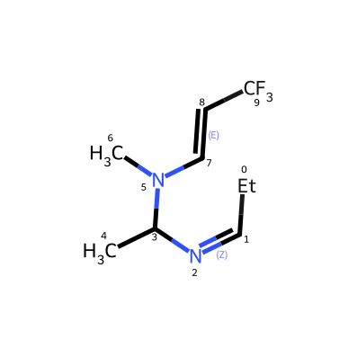 CC/C=N\C(C)N(C)/C=C/C(F)(F)F